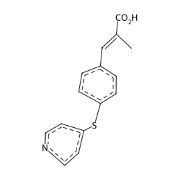 C/C(=C\c1ccc(Sc2ccncc2)cc1)C(=O)O